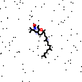 C/C=C1\O[C@](C)(CC/C=C(\C)CCC[C@@H](C)CCC=C(C)C)CC\C1=C\C(N=O)=C(C)C